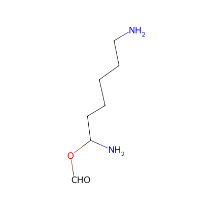 NCCCCCC(N)OC=O